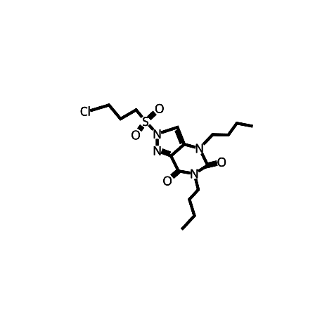 CCCCn1c(=O)c2nn(S(=O)(=O)CCCCl)cc2n(CCCC)c1=O